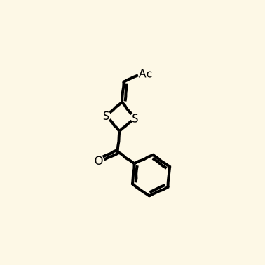 CC(=O)C=C1SC(C(=O)c2ccccc2)S1